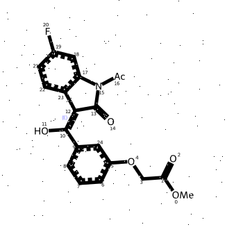 COC(=O)COc1cccc(/C(O)=C2\C(=O)N(C(C)=O)c3cc(F)ccc32)c1